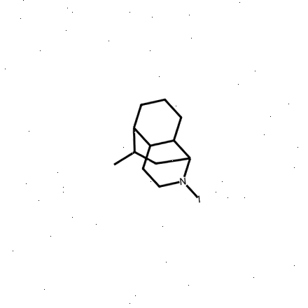 CC1CC2C3CCCC1C3CCN2I